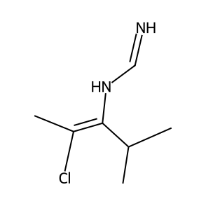 C/C(Cl)=C(\NC=N)C(C)C